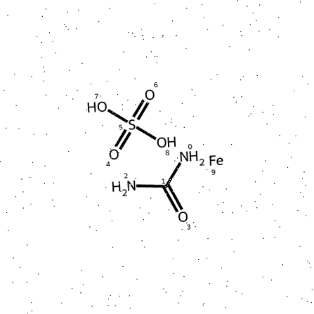 NC(N)=O.O=S(=O)(O)O.[Fe]